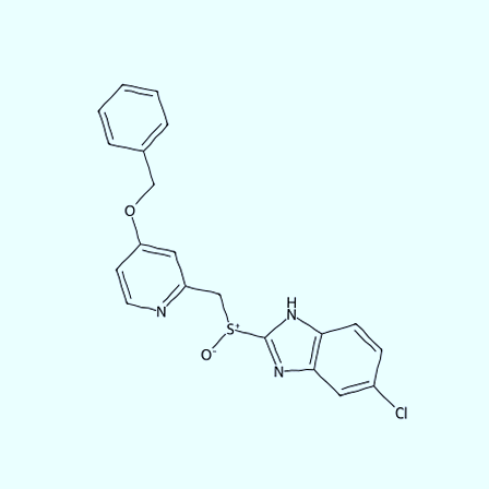 [O-][S+](Cc1cc(OCc2ccccc2)ccn1)c1nc2cc(Cl)ccc2[nH]1